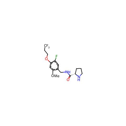 COc1cc(OCCC(F)(F)F)c(F)cc1CNC(=O)[C@@H]1CCCN1